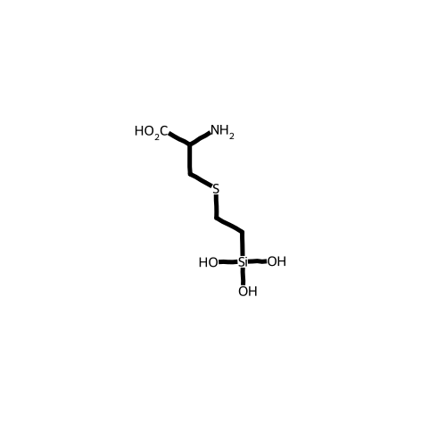 NC(CSCC[Si](O)(O)O)C(=O)O